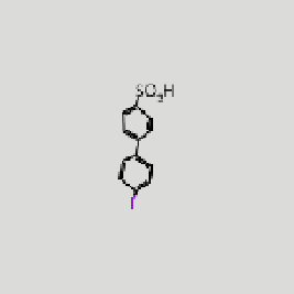 O=S(=O)(O)c1ccc(-c2ccc(I)cc2)cc1